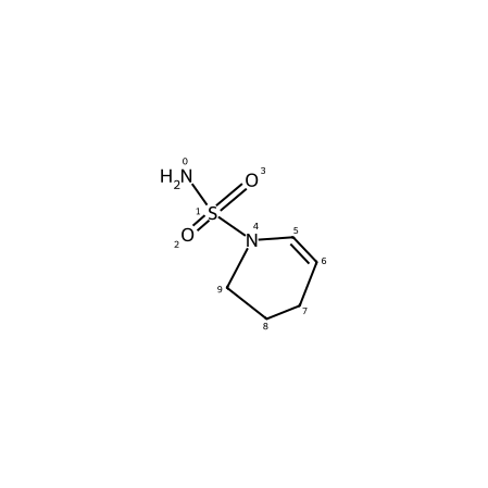 NS(=O)(=O)N1C=CCCC1